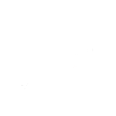 C=CCCc1ccccc1C(C)=O